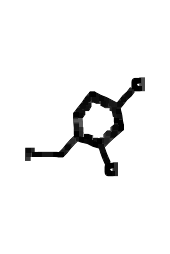 FCc1ccc(Cl)cc1Cl